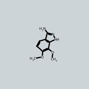 COc1ccc2c(N)n[nH]c2c1OC